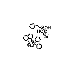 C[Si](C)(C)OO[Si](O)(O)OCCc1ccccc1.C[Si]1(c2ccccc2)[SiH](c2ccccc2)OCC[Si]1(c1ccccc1)c1ccccc1